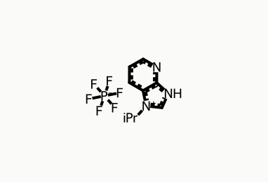 CC(C)[n+]1c[nH]c2ncccc21.F[P-](F)(F)(F)(F)F